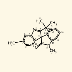 Cc1ccc2c(c1)N=C(C(C)(C)C)C21C(=O)N(C)c2ccccc21